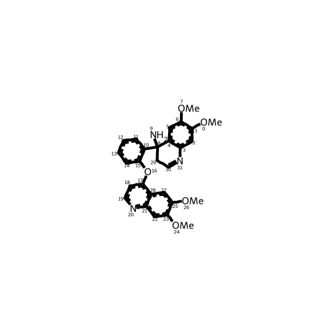 COc1cc2c(cc1OC)C(N)(c1ccccc1Oc1ccnc3cc(OC)c(OC)cc13)CC=N2